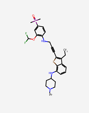 CC(C)N1CCC(Nc2cccc3c(CC(F)(F)F)c(C#CCNc4ccc(P(C)(C)=O)cc4OC(F)F)sc23)CC1